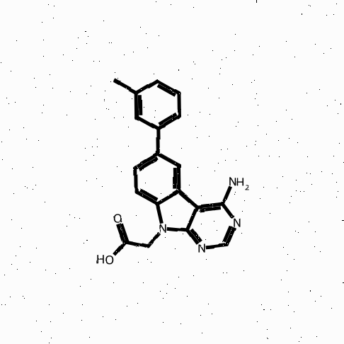 Cc1cccc(-c2ccc3c(c2)c2c(N)ncnc2n3CC(=O)O)c1